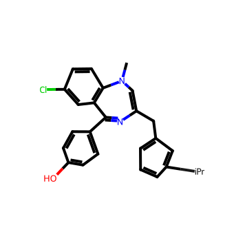 CC(C)c1cccc(CC2=CN(C)c3ccc(Cl)cc3C(c3ccc(O)cc3)=N2)c1